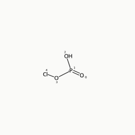 O=[P](O)OCl